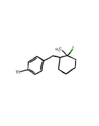 CCc1ccc(CC2CCCCC2(C)F)cc1